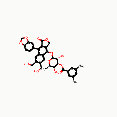 C[C@H]1OC(Oc2c3c(c(-c4ccc5c(c4)OCO5)c4cc(CO)c(CO)cc24)C(=O)OC3)[C@H](O)[C@@H](OC(=O)c2cc([N+](=O)[O-])cc([N+](=O)[O-])c2)[C@@H]1O